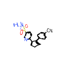 N#Cc1ccc(C2=CCC=C2c2ccc(S(N)(=O)=O)cn2)cc1